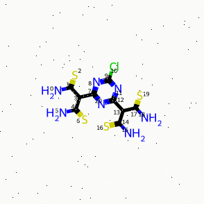 NC(=S)C(C(N)=S)c1nc(Cl)nc(C(C(N)=S)C(N)=S)n1